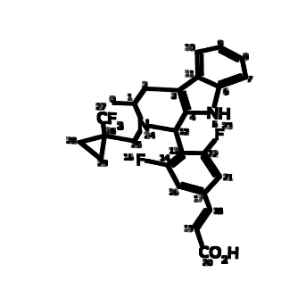 CC1Cc2c([nH]c3ccccc23)C(c2c(F)cc(/C=C/C(=O)O)cc2F)N1CC1(C(F)(F)F)CC1